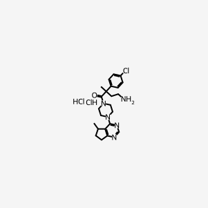 CC1CCc2ncnc(N3CCN(C(=O)C(C)(CCN)c4ccc(Cl)cc4)CC3)c21.Cl.Cl